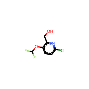 OCc1nc(Cl)ccc1OC(F)F